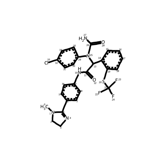 CN1CCN=C1c1ccc(NC(=O)C(c2ccccc2SC(F)(F)F)N(C(N)=O)c2ccc(Cl)cc2)cc1